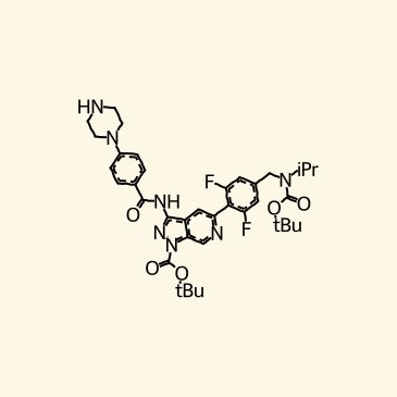 CC(C)N(Cc1cc(F)c(-c2cc3c(NC(=O)c4ccc(N5CCNCC5)cc4)nn(C(=O)OC(C)(C)C)c3cn2)c(F)c1)C(=O)OC(C)(C)C